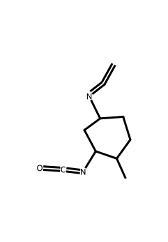 C=C=NC1CCC(C)C(N=C=O)C1